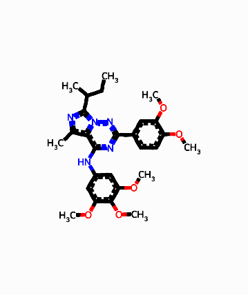 CCC(C)c1nc(C)c2c(Nc3cc(OC)c(OC)c(OC)c3)nc(-c3ccc(OC)c(OC)c3)nn12